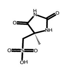 C[C@@]1(CS(=O)(=O)O)NC(=O)NC1=O